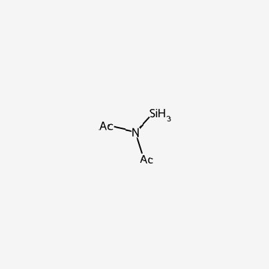 CC(=O)N([SiH3])C(C)=O